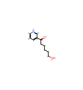 O=C(CCCCCO)c1cccnc1